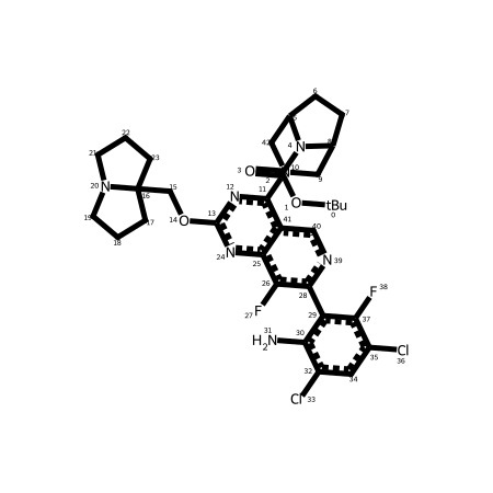 CC(C)(C)OC(=O)N1C2CCC1CN(c1nc(OCC34CCCN3CCC4)nc3c(F)c(-c4c(N)c(Cl)cc(Cl)c4F)ncc13)C2